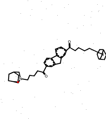 O=C(CCCCN1CC2CCC(CC2)C1)c1ccc2c(c1)Cc1cc(C(=O)CCCCN3CC4CCC(CC4)C3)ccc1-2